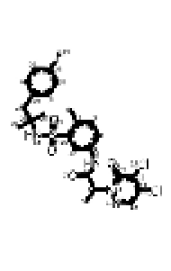 Cc1ccc(NC(=O)C(C)n2ncc(Cl)c(Cl)c2=O)cc1S(=O)(=O)NC(C)(C)Cc1ccc(F)cc1